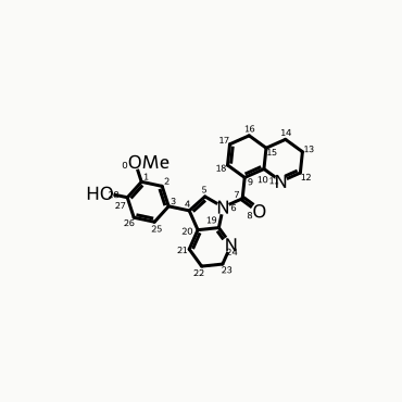 COc1cc(-c2cn(C(=O)C3=C4N=CCCC4CC=C3)c3c2=CCCN=3)ccc1O